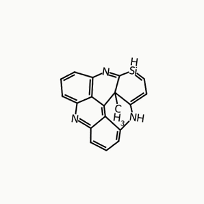 CC12C3=CC=[SiH]C1=Nc1cccc4nc5cccc(c5c2c14)N3